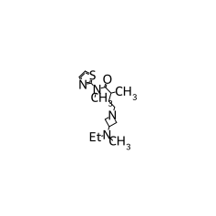 CCN(C)C1CN(CCC(C)C(=O)N(C)c2nccs2)C1